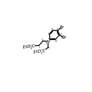 CCOC(=O)CCN(CC(=O)OCC)c1ccc(Br)c(Br)c1